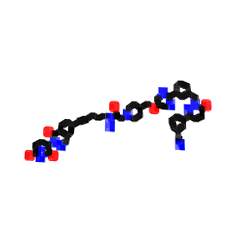 N#Cc1cccc(-c2ccc(=O)n(Cc3cccc(-c4ncc(OCC5CCN(CC(=O)NCCCC#Cc6ccc7c(=O)n(C8CCC(=O)NC8=O)ncc7c6)CC5)cn4)c3)n2)c1